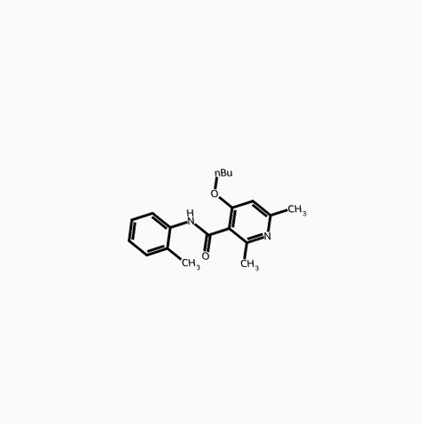 CCCCOc1cc(C)nc(C)c1C(=O)Nc1ccccc1C